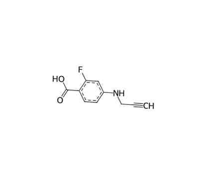 C#CCNc1ccc(C(=O)O)c(F)c1